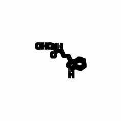 O=CNC(=O)CCCc1c[nH]c2ccccc12